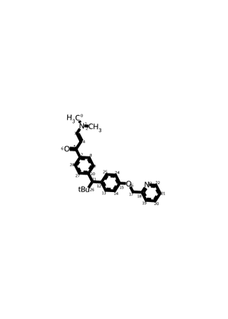 CN(C)/C=C/C(=O)c1ccc(C(c2ccc(OCc3ccccn3)cc2)C(C)(C)C)cc1